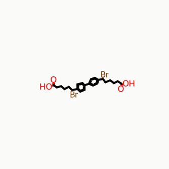 O=C(O)CCCCC(Br)c1ccc(-c2ccc(C(Br)CCCCC(=O)O)cc2)cc1